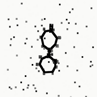 C1CC[N]N(N2CCCNCC2)CC1